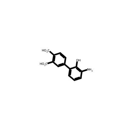 Nc1cccc(-c2ccc(C(=O)O)c(C(=O)O)c2)c1O